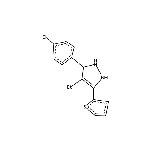 CCC1=C(c2cccs2)NNC1c1ccc(Cl)cc1